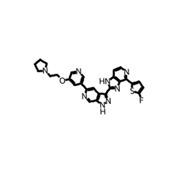 Fc1ccc(-c2nccc3[nH]c(-c4n[nH]c5cnc(-c6cncc(OCCN7CCCC7)c6)cc45)nc23)s1